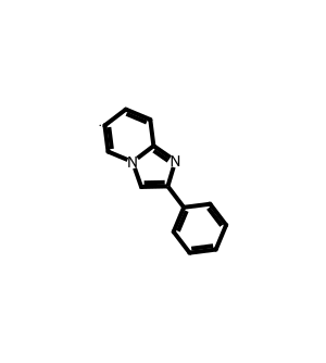 [c]1ccc2nc(-c3ccccc3)cn2c1